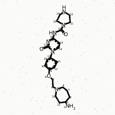 NC1CCCN(CCOc2ccc(-n3ccc(NC(=O)N4CCNCC4)nc3=O)cc2)CC1